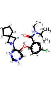 CCN(C(=O)c1cc(F)ccc1Oc1cncnc1N1CC2(CCCC2)C1)C(C)C